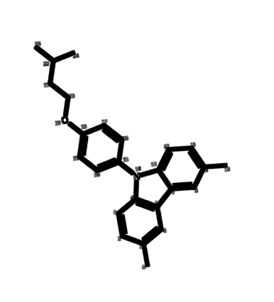 Cc1ccc2c(c1)c1cc(C)ccc1n2-c1ccc(OCCC(C)C)cc1